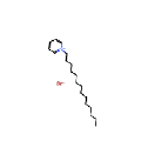 CCCCCCCCCCCCCC[n+]1ccccc1.[Br-]